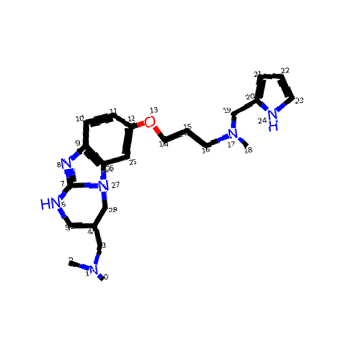 CN(C)CC1CNc2nc3ccc(OCCCN(C)Cc4ccc[nH]4)cc3n2C1